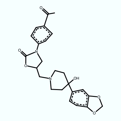 CC(=O)c1ccc(N2CC(CN3CCC(O)(c4ccc5c(c4)OCO5)CC3)OC2=O)cc1